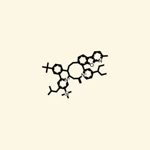 C=C1CC2C(CCc3ccc4c(oc5nc(C)ccc54)c3-c3cc(C(CC)CC)cc[n+]31)c1ccc(C(C)(C)C)cc1-c1cc(CC(C)C)c([Si](C)(C)C)c[n+]12